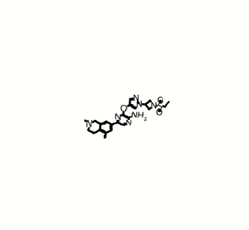 CCS(=O)(=O)N1CC(n2cc(Oc3nc(-c4cc(C)c5c(c4)CN(C)CC5)cnc3N)cn2)C1